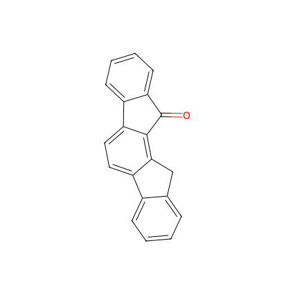 O=C1c2ccccc2-c2ccc3c(c21)Cc1ccccc1-3